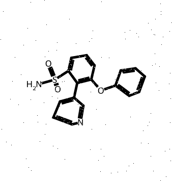 NS(=O)(=O)c1cccc(Oc2ccccc2)c1-c1cccnc1